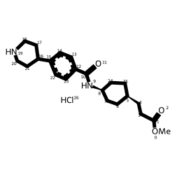 COC(=O)CC[C@H]1CC[C@@H](NC(=O)c2ccc(C3CCNCC3)cc2)CC1.Cl